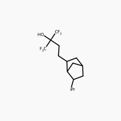 CC(C)C1CC2CC(CCC(O)(C(F)(F)F)C(F)(F)F)C1C2